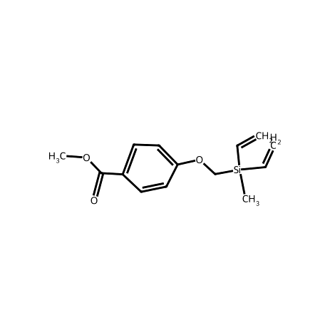 C=C[Si](C)(C=C)COc1ccc(C(=O)OC)cc1